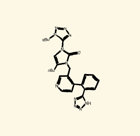 CCCCc1cn(-c2nnnn2C(C)(C)C)c(=O)n1Cc1cnccc1-c1ccccc1-c1nnn[nH]1